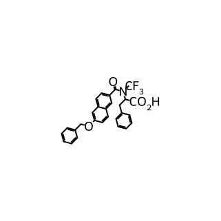 O=C(O)C(Cc1ccccc1)N(C(=O)c1ccc2cc(OCc3ccccc3)ccc2c1)C(F)(F)F